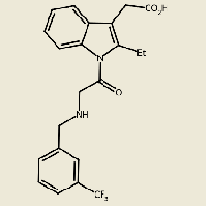 CCc1c(CC(=O)O)c2ccccc2n1C(=O)CNCc1cccc(C(F)(F)F)c1